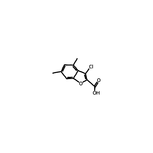 Cc1cc(C)c2c(Cl)c(C(=O)O)oc2c1